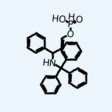 O=[PH](O)O/C=C/C(NC(c1ccccc1)(c1ccccc1)c1ccccc1)c1ccccc1